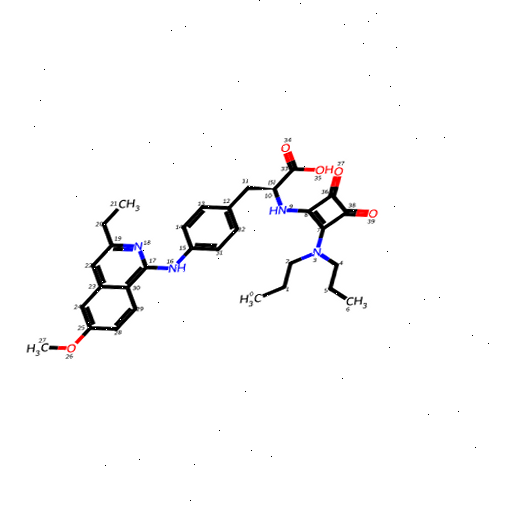 CCCN(CCC)c1c(N[C@@H](Cc2ccc(Nc3nc(CC)cc4cc(OC)ccc34)cc2)C(=O)O)c(=O)c1=O